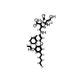 C=C(C)[C@@H]1CCC(C)=C[C@H]1c1c(O)cc(CCCCC)cc1OC/C=C/NCC1=C(C(=O)O)N2C(=O)[C@H]([C@@H](C)O)[C@H]2S1